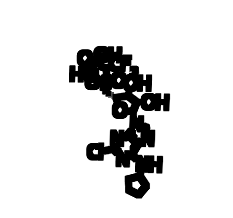 O=P(O)(O)C(C(F)(F)F)S(=O)(=O)C[C@H]1O[C@@H](n2cnc3c(NC4CCCC4)nc(Cl)nc32)[C@H](O)[C@@H]1O